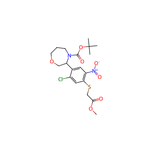 COC(=O)CSc1cc(Cl)c(C2COCCCN2C(=O)OC(C)(C)C)cc1[N+](=O)[O-]